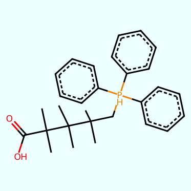 CC(C)(C[PH](c1ccccc1)(c1ccccc1)c1ccccc1)C(C)(C)C(C)(C)C(=O)O